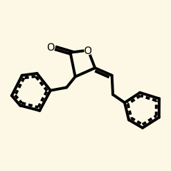 O=C1OC(=CCc2ccccc2)C1Cc1ccccc1